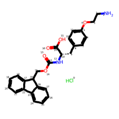 Cl.NCCOc1ccc(C[C@H](NC(=O)OCC2c3ccccc3-c3ccccc32)C(=O)O)cc1